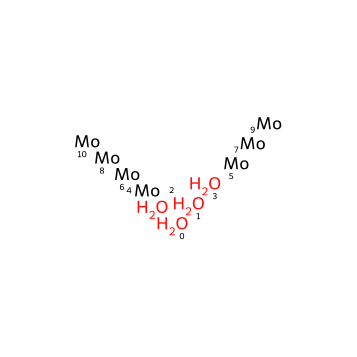 O.O.O.O.[Mo].[Mo].[Mo].[Mo].[Mo].[Mo].[Mo]